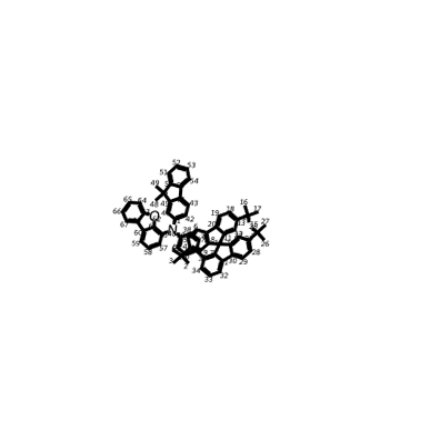 CC(C)(C)c1ccc2c(c1)C1(c3cc(C(C)(C)C)ccc3-2)c2cc(C(C)(C)C)ccc2-c2cccc(-c3ccc(N(c4ccc5c(c4)C(C)(C)c4ccccc4-5)c4cccc5c4oc4ccccc45)cc3)c21